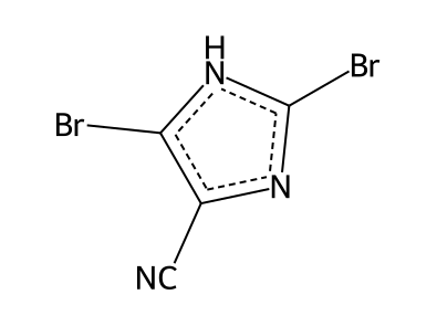 N#Cc1nc(Br)[nH]c1Br